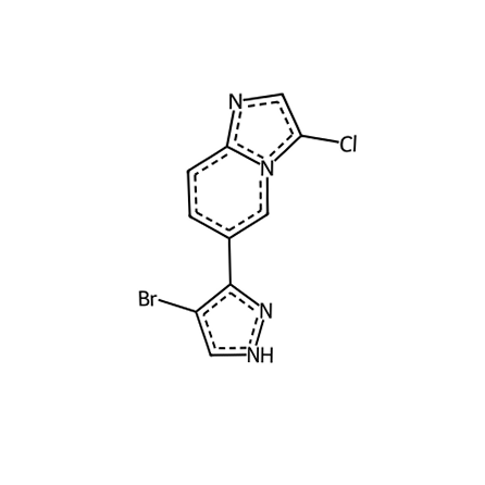 Clc1cnc2ccc(-c3n[nH]cc3Br)cn12